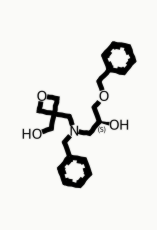 OCC1(CN(Cc2ccccc2)C[C@H](O)COCc2ccccc2)COC1